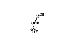 COc1cc(C(=O)NCCCC(C)(C)[Si](C)(C)O)ccc1[N+](=O)[O-]